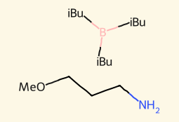 CCC(C)B(C(C)CC)C(C)CC.COCCCN